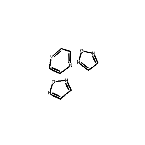 c1cnccn1.c1cnon1.c1cnon1